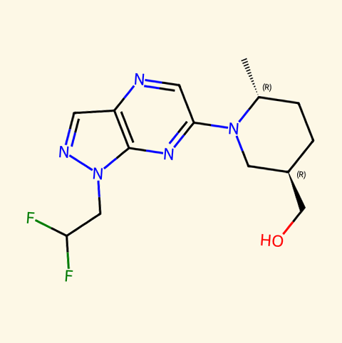 C[C@@H]1CC[C@@H](CO)CN1c1cnc2cnn(CC(F)F)c2n1